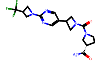 NC(=O)[C@H]1CCN(C(=O)N2CC(c3cnc(N4CC(C(F)(F)F)C4)nc3)C2)C1